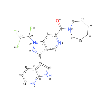 O=C(c1cc2c(cn1)c(-c1c[nH]c3ncccc13)nn2C(F)C(F)F)N1CCCCCC1